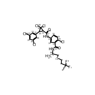 C[C@H](CSCCC(F)(F)F)NC(=O)c1cc(NC(=O)C2C(c3cc(Cl)cc(Cl)c3)C2(Cl)Cl)ccc1Cl